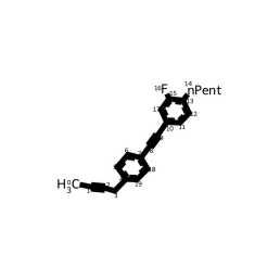 CC#CCc1ccc(C#Cc2ccc(CCCCC)c(F)c2)cc1